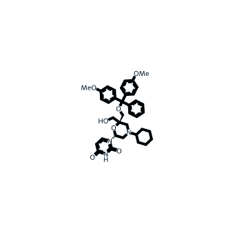 COc1ccc(C(OC[C@@]2(CO)CN(C3CCCCC3)C[C@H](n3ccc(=O)[nH]c3=O)O2)(c2ccccc2)c2ccc(OC)cc2)cc1